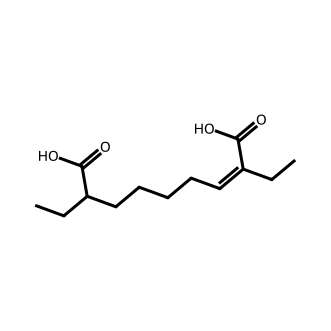 CCC(=CCCCCC(CC)C(=O)O)C(=O)O